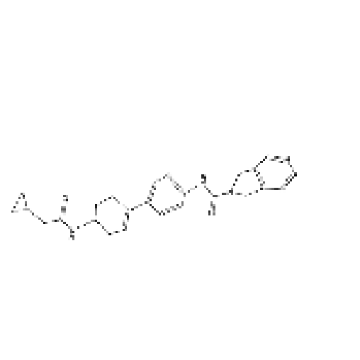 O=C(CC1CC1)NC1CC=C(c2ccc(NC(=O)N3Cc4ccncc4C3)cc2)CC1